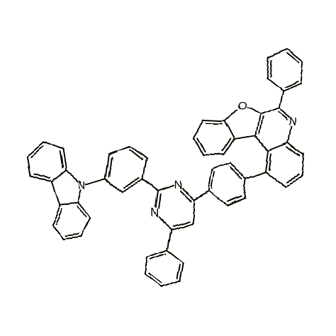 c1ccc(-c2cc(-c3ccc(-c4cccc5nc(-c6ccccc6)c6oc7ccccc7c6c45)cc3)nc(-c3cccc(-n4c5ccccc5c5ccccc54)c3)n2)cc1